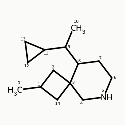 CC1CC2(CNCCC2C(C)C2CC2)C1